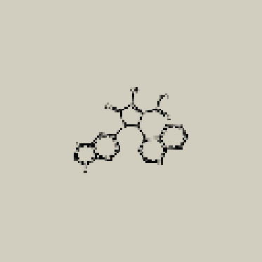 CCCC(=O)C1=C(O)C(=O)N(c2ccc3[nH]cnc3c2)C1c1ccnc2ccccc12